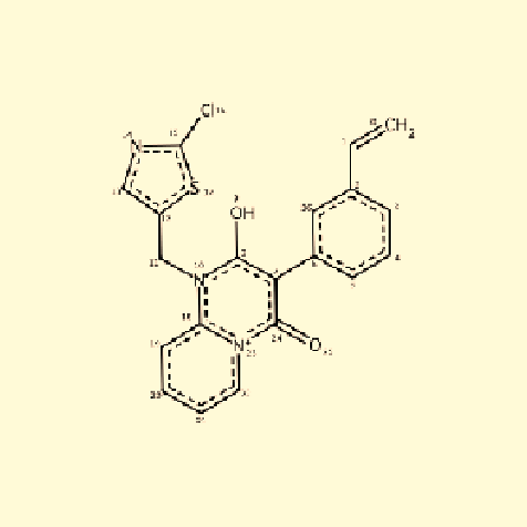 C=Cc1cccc(-c2c(O)n(Cc3cnc(Cl)s3)c3cccc[n+]3c2=O)c1